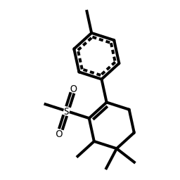 Cc1ccc(C2=C(S(C)(=O)=O)C(C)C(C)(C)CC2)cc1